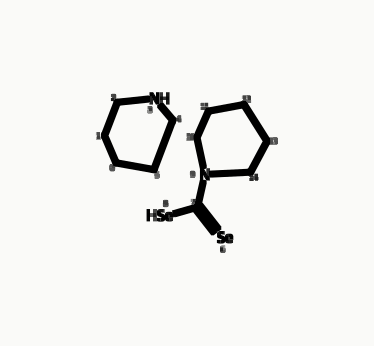 C1CCNCC1.[Se]=C([SeH])N1CCCCC1